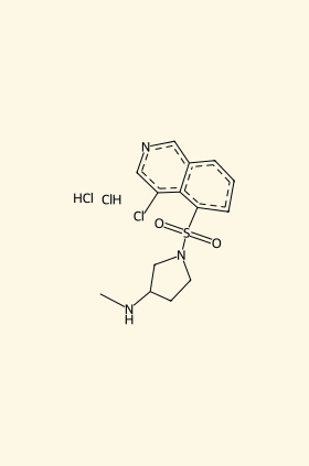 CNC1CCN(S(=O)(=O)c2cccc3cncc(Cl)c23)C1.Cl.Cl